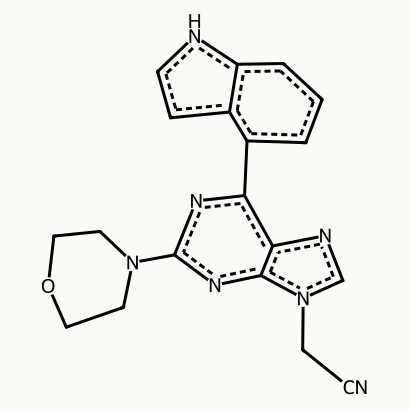 N#CCn1cnc2c(-c3cccc4[nH]ccc34)nc(N3CCOCC3)nc21